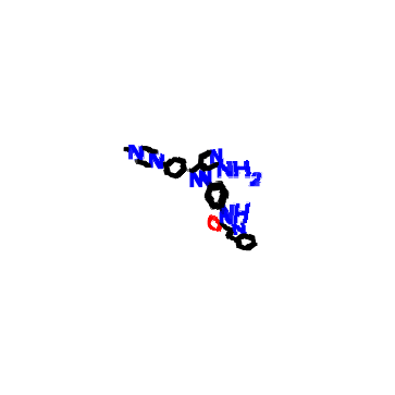 CN1CCN([C@H]2CC[C@@H](c3nn(-c4ccc(NC(=O)c5cc6ccccc6n5C)cc4)c4c(N)nccc43)CC2)CC1